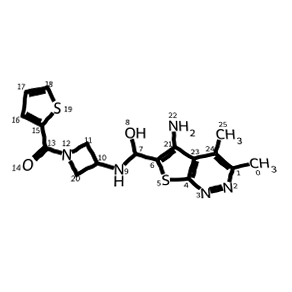 Cc1nnc2sc(C(O)NC3CN(C(=O)c4cccs4)C3)c(N)c2c1C